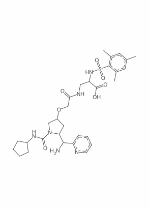 Cc1cc(C)c(S(=O)(=O)NC(CNC(=O)COC2CC(C(N)c3ccccn3)N(C(=O)NC3CCCC3)C2)C(=O)O)c(C)c1